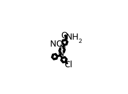 N#Cc1cc(C(N)=O)ccc1N1CCN(C(c2ccccc2)c2ccc(Cl)cc2)CC1